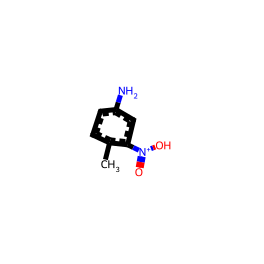 Cc1ccc(N)cc1[N+](=O)O